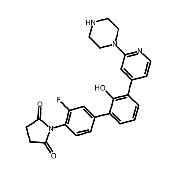 O=C1CCC(=O)N1c1ccc(-c2cccc(-c3ccnc(N4CCNCC4)c3)c2O)cc1F